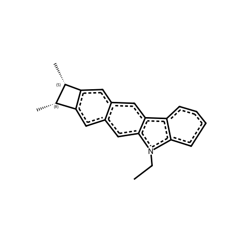 CCn1c2ccccc2c2cc3cc4c(cc3cc21)[C@H](C)[C@@H]4C